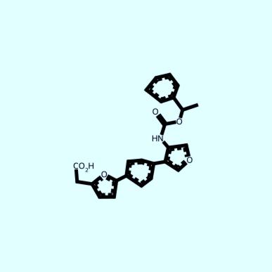 CC(OC(=O)Nc1cocc1-c1ccc(-c2ccc(CC(=O)O)o2)cc1)c1ccccc1